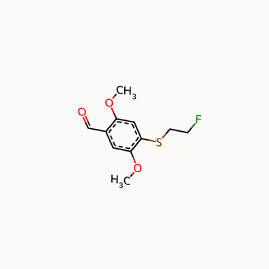 COc1cc(SCCF)c(OC)cc1C=O